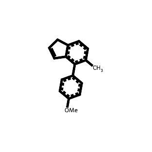 COc1ccc(-c2c(C)ccc3c2C=CC3)cc1